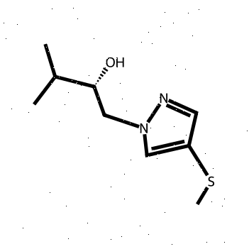 CSc1cnn(C[C@@H](O)C(C)C)c1